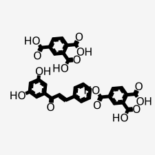 O=C(C=Cc1ccccc1)c1cc(O)cc(O)c1.O=C(O)c1ccc(C(=O)O)c(C(=O)O)c1.O=C(O)c1ccc(C(=O)O)c(C(=O)O)c1